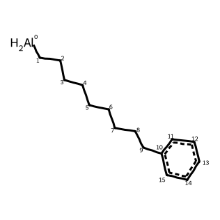 [AlH2][CH2]CCCCCCCCc1ccccc1